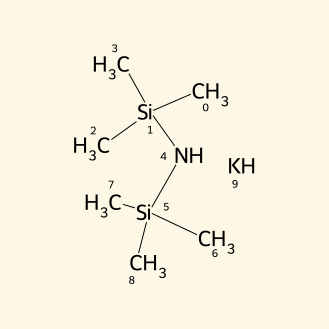 C[Si](C)(C)N[Si](C)(C)C.[KH]